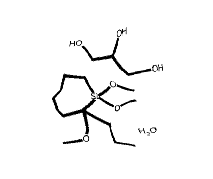 CCCC1(OC)CCCC[Si]1(OC)OC.O.OCC(O)CO